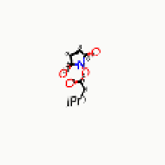 CC(C)CC(=O)ON1C(=O)C=CC1=O